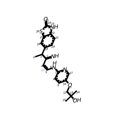 CC(C(=N)/C=C\Nc1ccc(OCC(C)(C)O)cn1)c1ccc2[nH]c(=O)sc2c1